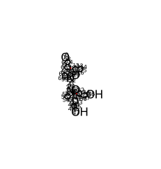 COc1ccc2cc(C3(c4ccc5ccccc5c4)C(=O)N(CCCCN4C(=O)C(c5ccc6cc(O)ccc6c5)(c5ccc6cc(O)ccc6c5)c5ccccc54)c4ccccc43)ccc2c1